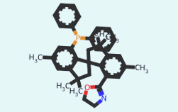 Cc1cc(C2=NCCO2)c2c(c1)C(C)(C)CC21CC(C)(C)c2cc(C)cc(P(c3ccccc3)c3ccccc3)c21